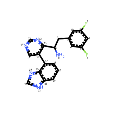 NC(Cc1cc(F)cc(F)c1)c1ncncc1-c1cccc2[nH]cnc12